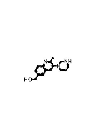 Cc1nc2ccc(CO)cc2cc1N1C=CCNC1